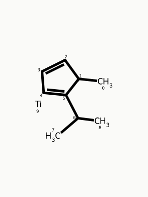 C[C]1C=CC=C1C(C)C.[Ti]